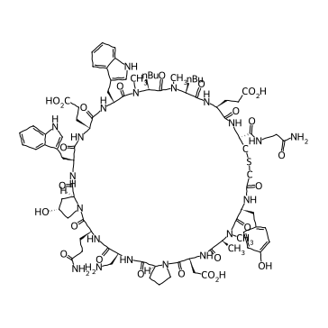 CCCC[C@H]1C(=O)N(C)[C@@H](CCCC)C(=O)N[C@@H](CCC(=O)O)C(=O)N[C@H](C(=O)NCC(N)=O)CSCC(=O)N[C@@H](Cc2ccc(O)cc2)C(=O)N(C)[C@@H](C)C(=O)N[C@@H](CC(=O)O)C(=O)N2CCC[C@H]2C(=O)N[C@@H](CN)C(=O)N[C@@H](CCC(N)=O)C(=O)N2C[C@H](O)C[C@H]2C(=O)N[C@@H](Cc2c[nH]c3ccccc23)C(=O)N[C@@H](CCC(=O)O)C(=O)N[C@@H](Cc2c[nH]c3ccccc23)C(=O)N1C